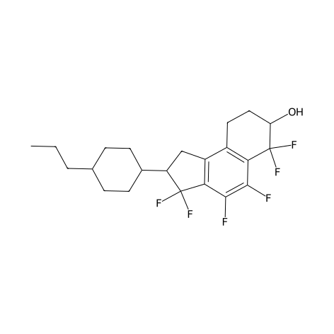 CCCC1CCC(C2Cc3c4c(c(F)c(F)c3C2(F)F)C(F)(F)C(O)CC4)CC1